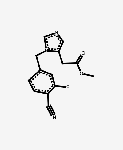 COC(=O)Cc1cncn1Cc1ccc(C#N)c(F)c1